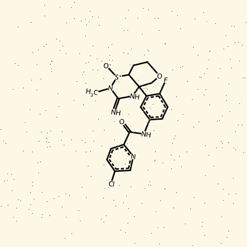 CN1C(=N)NC2(c3cc(NC(=O)c4ccc(Cl)cn4)ccc3F)COCCC2[S+]1[O-]